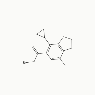 C=C(CBr)c1cc(C)c2c(c1C1CC1)CCC2